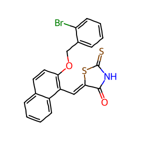 O=C1NC(=S)S/C1=C\c1c(OCc2ccccc2Br)ccc2ccccc12